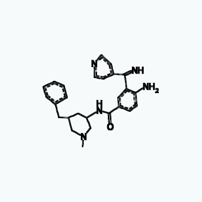 CN1CC(Cc2ccccc2)CC(NC(=O)c2ccc(N)c(C(=N)c3ccncc3)c2)C1